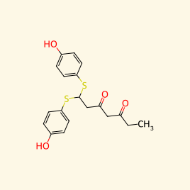 CCC(=O)CC(=O)CC(Sc1ccc(O)cc1)Sc1ccc(O)cc1